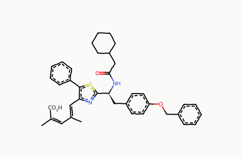 C/C(=C/C(C)=C/c1nc([C@H](Cc2ccc(OCc3ccccc3)cc2)NC(=O)CC2CCCCC2)sc1-c1ccccc1)C(=O)O